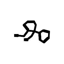 OCC1=CC=CCC1(CO)c1ccccc1